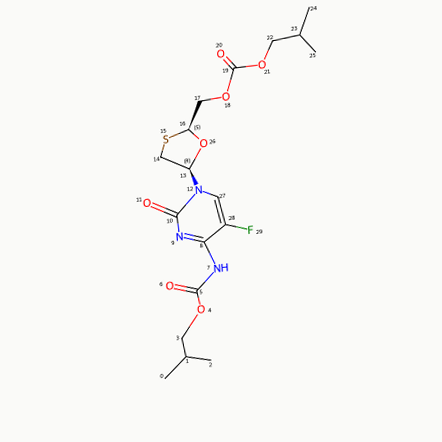 CC(C)COC(=O)Nc1nc(=O)n([C@H]2CS[C@@H](COC(=O)OCC(C)C)O2)cc1F